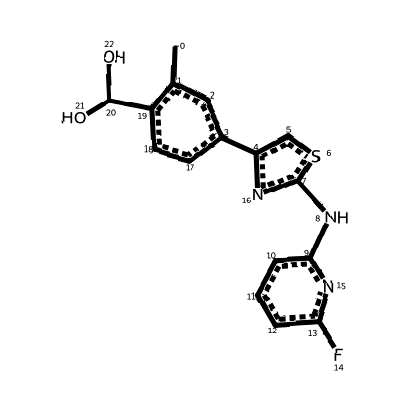 Cc1cc(-c2csc(Nc3cccc(F)n3)n2)ccc1C(O)O